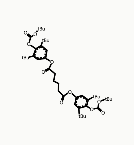 CC(C)(C)OC(=O)Oc1c(C(C)(C)C)cc(OC(=O)CCCCC(=O)Oc2cc(C(C)(C)C)c(OC(=O)OC(C)(C)C)c(C(C)(C)C)c2)cc1C(C)(C)C